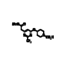 COC(=O)Cc1cc(OC2CCN(C(=O)O)CC2)nc(C(F)(F)F)n1